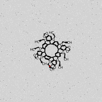 C#CCOc1cc(OCC#C)c2cc1C(c1ccc3c(c1)OCO3)c1cc(c(OCC#C)cc1OCC#C)C(c1ccc3c(c1)OCO3)c1cc(c(OCC#C)cc1OCC#C)C(c1ccc3c(c1)OCO3)c1cc(c(OCC#C)cc1OCC#C)C2c1ccc2c(c1)OCO2